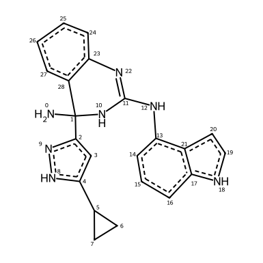 NC1(c2cc(C3CC3)[nH]n2)NC(Nc2cccc3[nH]ccc23)=Nc2ccccc21